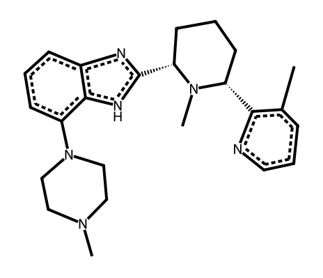 Cc1cccnc1[C@H]1CCC[C@@H](c2nc3cccc(N4CCN(C)CC4)c3[nH]2)N1C